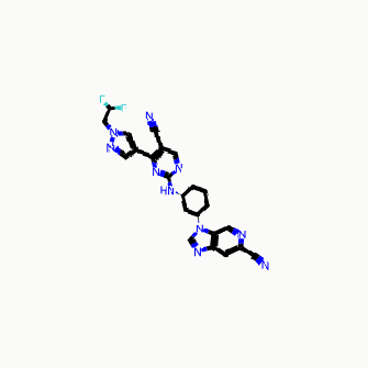 N#Cc1cc2ncn([C@H]3CCC[C@@H](Nc4ncc(C#N)c(-c5cnn(CC(F)F)c5)n4)C3)c2cn1